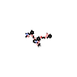 COc1ccccc1COCCCOc1ccc(C2C(OCCOc3ccccc3CCN(C)C(C)=O)CCCN2C(=O)OC(C)(C)C)cc1